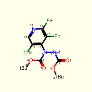 CC(C)(C)OC(=O)NN(C(=O)OC(C)(C)C)c1c(Cl)cnc(F)c1F